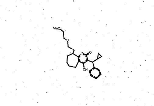 COCCOCCC1CCCCc2c1oc(=O)c(C(c1ccccc1)C1CC1)c2O